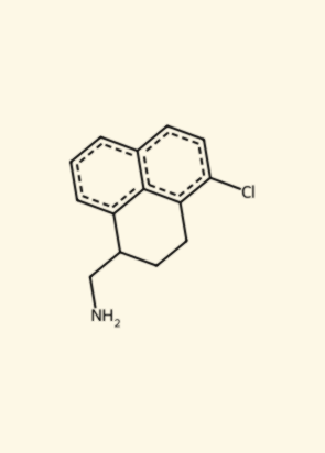 NCC1CCc2c(Cl)ccc3cccc1c23